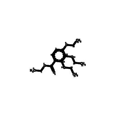 CCOC(=O)c1ccc(OCC)c(OCC)c1OCC